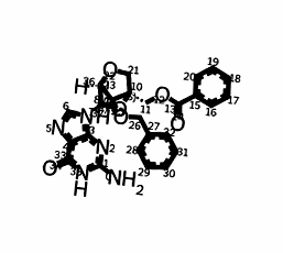 Nc1nc2c(ncn2[C@@H]2O[C@]3(COC(=O)c4ccccc4)CO[C@H]2[C@H]3OCc2ccccc2)c(=O)[nH]1